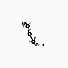 CCCCCc1cc(F)c(C#Cc2ccc(COc3cc(F)c(C#N)c(F)c3)cc2)c(F)c1